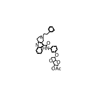 CC(=O)OC1COC2C(Oc3cccc(NC(=O)c4c5c(nc6ccccc46)CCN(CCc4ccccc4)C5)c3)COC12